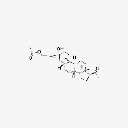 CC(=O)OCC#C[C@@]1(O)CC[C@@]2(C)[C@H](CC[C@@H]3[C@@H]2CC[C@]2(C)[C@@H](C(C)=O)CC[C@@H]32)C1